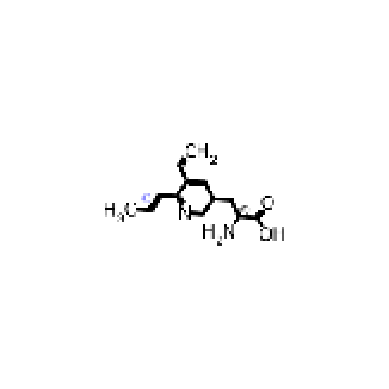 C=CC1=CC(C[C@H](N)C(=O)O)CN=C1/C=C/C